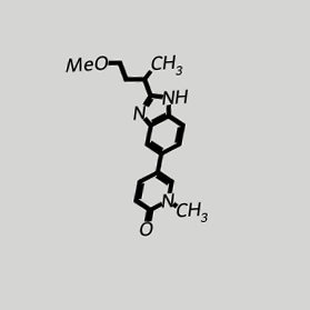 COCCC(C)c1nc2cc(-c3ccc(=O)n(C)c3)ccc2[nH]1